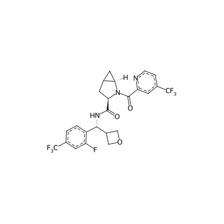 O=C(N[C@@H](c1ccc(C(F)(F)F)cc1F)C1COC1)[C@H]1CC2C[C@H]2N1C(=O)c1cc(C(F)(F)F)ccn1